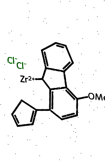 COc1ccc(C2=CC=CC2)c2c1-c1ccccc1[CH]2[Zr+2].[Cl-].[Cl-]